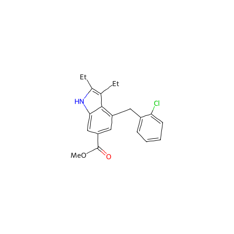 CCc1[nH]c2cc(C(=O)OC)cc(Cc3ccccc3Cl)c2c1CC